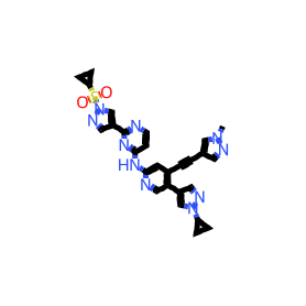 Cn1cc(C#Cc2cc(Nc3ccnc(-c4cnn(S(=O)(=O)C5CC5)c4)n3)ncc2-c2cnn(C3CC3)c2)cn1